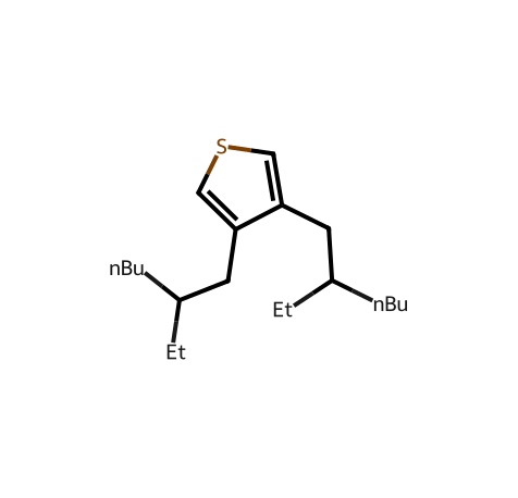 CCCCC(CC)Cc1cscc1CC(CC)CCCC